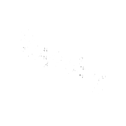 O=C(c1ccccc1)c1ccc2c(c1)nc1n2C(=O)c2cc(-c3ccc4c(c3)C(=O)n3c-4nc4cc(C(=O)c5ccccc5)ccc43)ccc2-1